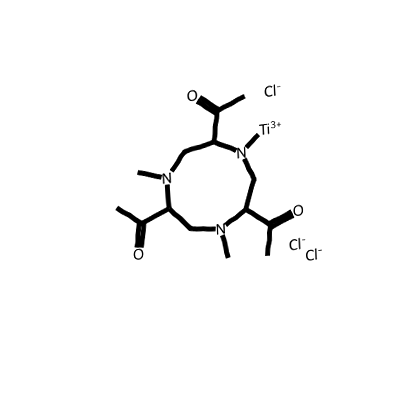 CC(=O)C1C[N]([Ti+3])C(C(C)=O)CN(C)C(C(C)=O)CN1C.[Cl-].[Cl-].[Cl-]